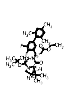 CCOC(=O)C[C@H](NC(=O)[C@@H]1[C@@H]2[C@H](CN1C(=O)OC(C)(C)C)C2(C)C)c1cc(-c2c(C)cc(C)cc2C)cc(F)c1F